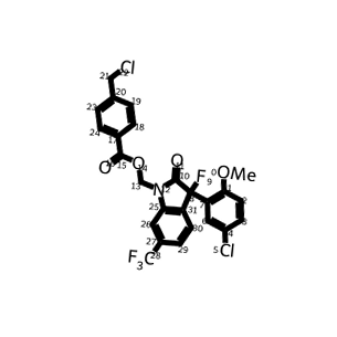 COc1ccc(Cl)cc1C1(F)C(=O)N(COC(=O)c2ccc(CCl)cc2)c2cc(C(F)(F)F)ccc21